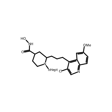 CCCCCCCN1CCC(C(=O)NO)CC1CCCc1c(Cl)cnc2ccc(OC)cc12